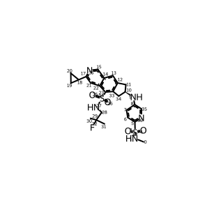 CNS(=O)(=O)c1ccc(N[C@@H]2Cc3cc4cnc(C5CC5)cc4c(S(=O)(=O)NCC(C)(C)F)c3C2)cn1